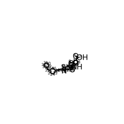 COc1cc(C(=O)O)ccc1NS(=O)(=O)N1Cc2nc(C#CC3CCCC(CC4CCCCC4)CC3)sc2C1